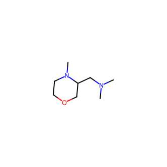 CN(C)CC1COCCN1C